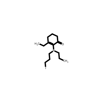 CCCN(CCCI)C1=C(CC)CCCC1=O